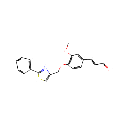 COc1cc(/C=C/C=O)ccc1OCc1csc(-c2ccccc2)n1